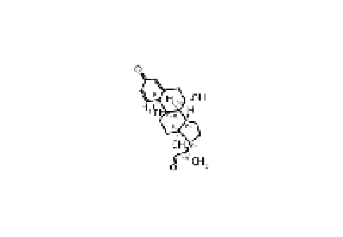 C[C@H](C=O)[C@@H]1CC[C@H]2[C@@H]3[C@@H](O)CC4=CC(=O)C=C[C@@]4(C)[C@H]3CC[C@@]21C